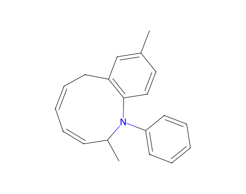 Cc1ccc2c(c1)C/C=C\C=C/C(C)N2c1ccccc1